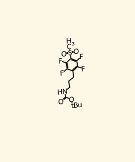 CC(C)(C)OC(=O)NCCCc1c(F)c(F)c(S(C)(=O)=O)c(F)c1F